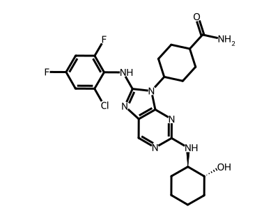 NC(=O)C1CCC(n2c(Nc3c(F)cc(F)cc3Cl)nc3cnc(N[C@@H]4CCCC[C@H]4O)nc32)CC1